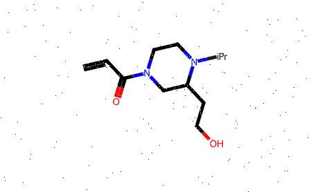 C=CC(=O)N1CCN(C(C)C)C(CCO)C1